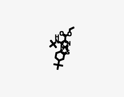 CCOC(=O)c1nc2sc3c(n2c1NC(C)(C)C)CCC(C(C)(C)C)C3